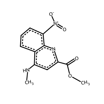 CNc1cc(C(=O)OC)nc2c([N+](=O)[O-])cccc12